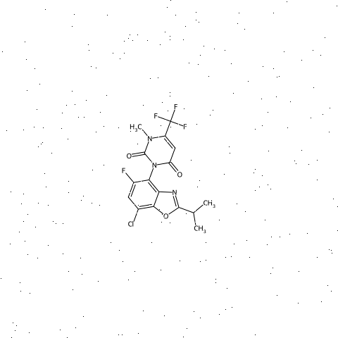 CC(C)c1nc2c(-n3c(=O)cc(C(F)(F)F)n(C)c3=O)c(F)cc(Cl)c2o1